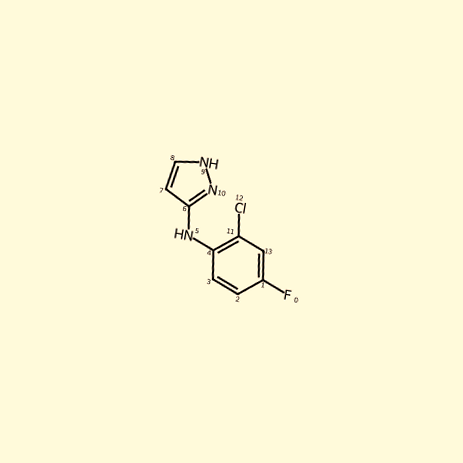 Fc1ccc(Nc2cc[nH]n2)c(Cl)c1